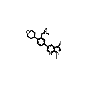 CN(C)Cc1cc(-c2cnc3[nH]cc(I)c3c2)ccc1C1CCOCC1